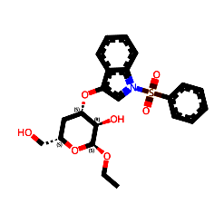 CCO[C@H]1O[C@H](CO)C[C@H](Oc2cn(S(=O)(=O)c3ccccc3)c3ccccc23)[C@H]1O